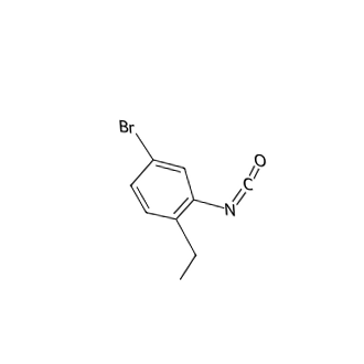 CCc1ccc(Br)cc1N=C=O